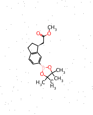 COC(=O)C[C@@H]1CCc2ccc(B3OC(C)(C)C(C)(C)O3)cc21